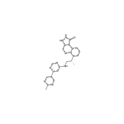 Cc1ncc(-c2cc(NC[C@@H](C)c3cccc4c3ncc3[nH][nH]c(=O)c34)ncn2)cn1